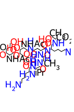 CO[C@@H]1C(CO)O[C@@H](O[C@@H]2C(CO)OC(NC(=O)CC(NC(=O)C(C)NC(=O)C(NC(=O)C(N)CCCCN)C(C)C)C(=O)NC(CCCCN)C(=O)NC(C(=O)O)C(C)O)C(NC(C)=O)C2O)C(NC(C)=O)C1O